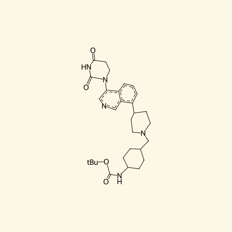 CC(C)(C)OC(=O)NC1CCC(CN2CCC(c3cccc4c(N5CCC(=O)NC5=O)cncc34)CC2)CC1